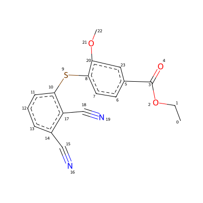 CCOC(=O)c1ccc(Sc2cccc(C#N)c2C#N)c(OC)c1